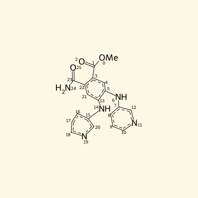 COC(=O)c1cc(Nc2cccnc2)c(Nc2cccnc2)cc1C(N)=O